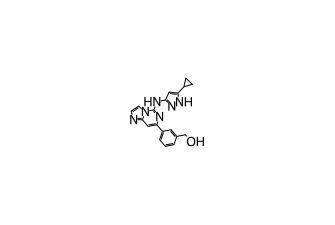 OCc1cccc(-c2cc3nccn3c(Nc3cc(C4CC4)[nH]n3)n2)c1